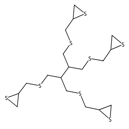 C(SCC(CSCC1CS1)C(CSCC1CS1)CSCC1CS1)C1CS1